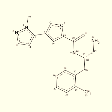 Cn1nccc1-c1coc(C(=O)N[C@H](CN)Cc2ccccc2C(F)(F)F)c1